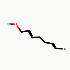 [CH2]/C=C/CC/C=C/COCC